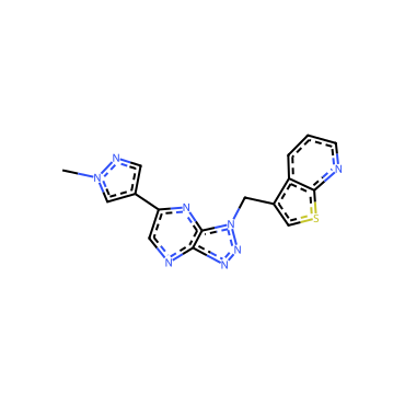 Cn1cc(-c2cnc3nnn(Cc4csc5ncccc45)c3n2)cn1